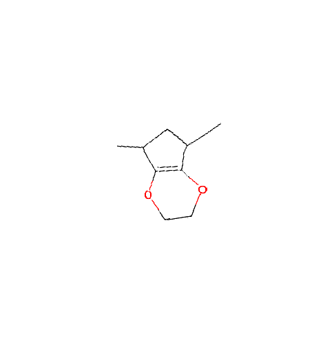 CC1CC(C)C2=C1OCCO2